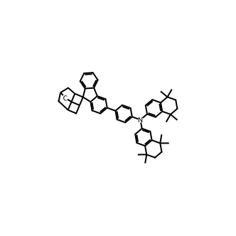 CC1(C)CCC(C)(C)c2cc(N(c3ccc(-c4ccc5c(c4)-c4ccccc4C54C5CC6CC7CC4C75C6)cc3)c3ccc4c(c3)C(C)(C)CCC4(C)C)ccc21